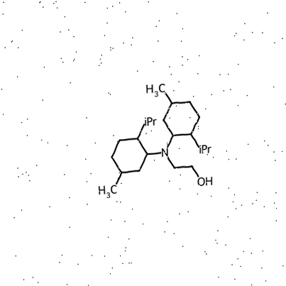 CC1CCC(C(C)C)C(N(CCO)C2CC(C)CCC2C(C)C)C1